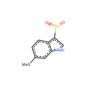 CSc1ccc2c([SH](=O)=O)c[nH]c2c1